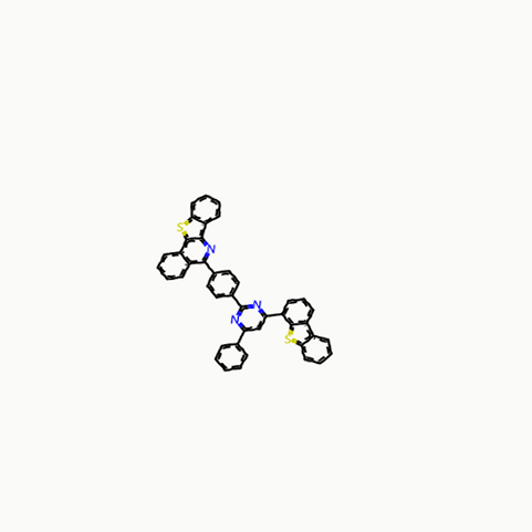 c1ccc(-c2cc(-c3cccc4c3sc3ccccc34)nc(-c3ccc(-c4nc5c6ccccc6sc5c5ccccc45)cc3)n2)cc1